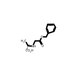 C[C@H](NCC(=O)OCc1ccccc1)C(=O)O